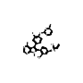 C=CC(=O)Nc1ccc(-c2c(-c3ccc(Oc4nccc(C)n4)c(F)c3)c3c(C)ncnc3n2C)c(Cl)c1